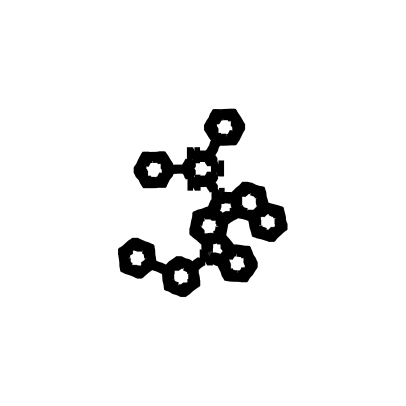 c1ccc(-c2cccc(-n3c4ccccc4c4c5c6c7ccccc7ccc6n(-c6nc(-c7ccccc7)nc(-c7ccccc7)n6)c5ccc43)c2)cc1